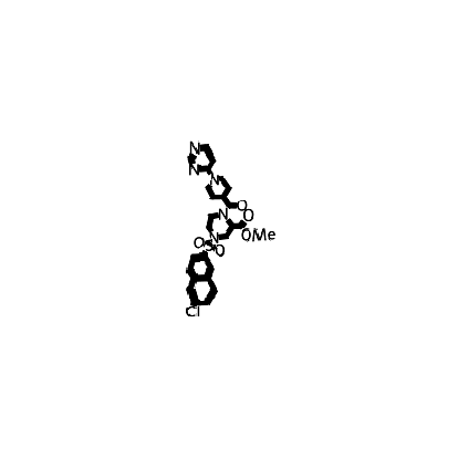 COC(=O)C1CN(S(=O)(=O)c2ccc3cc(Cl)ccc3c2)CCN1C(=O)C1CCN(c2ccncn2)CC1